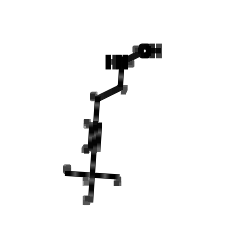 CC(C)(C)C#CCCNO